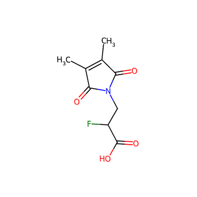 CC1=C(C)C(=O)N(CC(F)C(=O)O)C1=O